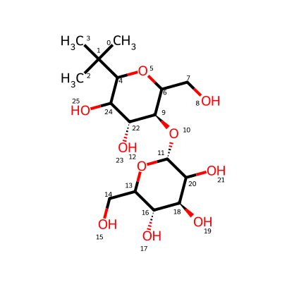 CC(C)(C)C1OC(CO)[C@@H](O[C@H]2OC(CO)[C@@H](O)[C@H](O)C2O)[C@H](O)C1O